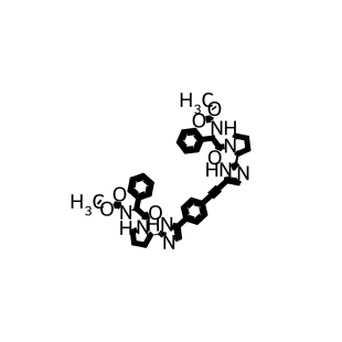 COC(=O)N[C@@H](C(=O)N1CCC[C@H]1c1ncc(C#Cc2ccc(-c3cnc([C@@H]4CCCN4C(=O)[C@H](NC(=O)OC)c4ccccc4)[nH]3)cc2)[nH]1)c1ccccc1